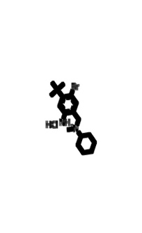 CN(Cc1cc(Br)c(C(C)(C)C)cc1N)C1CCCCC1.Cl